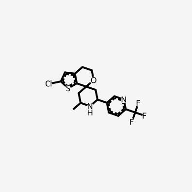 CC1CC2(CC(c3ccc(C(F)(F)F)nc3)N1)OCCc1cc(Cl)sc12